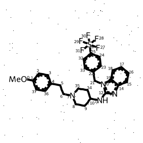 COc1ccc(CCN2CCC(Nc3nc4ccccc4n3Cc3ccc(S(F)(F)(F)(F)F)cc3)CC2)cc1